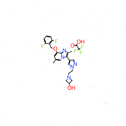 Cc1cc(OCc2c(F)cccc2F)c2nc(C)c(-c3cnn(CCN4CC(O)C4)c3)n2c1.O=C(O)C(F)(F)F